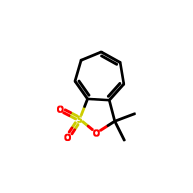 CC1(C)OS(=O)(=O)C2=CCC=CC=C21